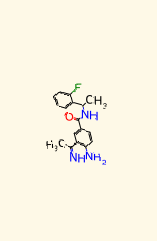 CC(=N)c1cc(C(=O)NC(C)c2ccccc2F)ccc1N